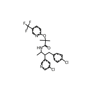 CC(NC(=O)C(C)(C)Oc1ccc(C(F)(F)F)cn1)C(Cc1ccc(Cl)cc1)c1cncc(Cl)c1